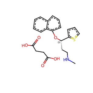 CNCC[C@H](Oc1cccc2ccccc12)c1cccs1.O=C(O)CCC(=O)O